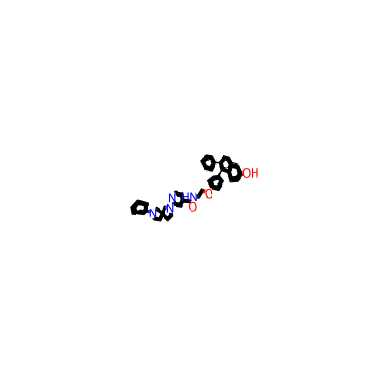 O=C(NCCOc1ccc([C@@H]2c3ccc(O)cc3CC[C@@H]2c2ccccc2)cc1)c1ccnc(N2CCC3(CCN(c4ccccc4)C3)C2)c1